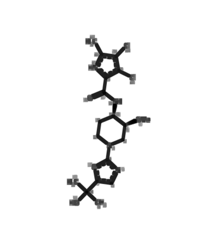 CO[C@H]1CN(c2ncc(C(C)(C)O)o2)CC[C@H]1NC(=O)c1[nH]c(C)c(Cl)c1Cl